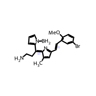 Bn1cccc1/C(CCN)=C1N=C(/C=C/c2cc(Br)ccc2OC)C=C\1C